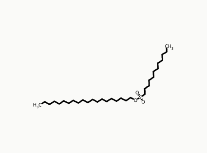 CCCCCCCCCCCCCCCCCCCCOS(=O)(=O)CCCCCCCCCCCC